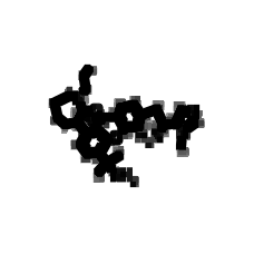 CCCN1CCCCC(c2ccc(C(C)(C)N)c(Oc3cc(CC(N)c4cncn4C)ccc3C#N)c2)C1=O